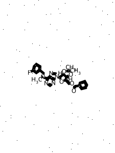 CN(Cc1cccc(F)c1)c1ncnc2c1ncn2C1O/C(=C/OC(=O)c2ccccc2)[C@H]2OC(C)(C)O[C@@H]12